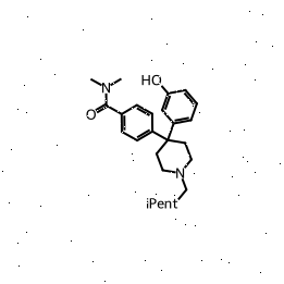 CCCC(C)CN1CCC(c2ccc(C(=O)N(C)C)cc2)(c2cccc(O)c2)CC1